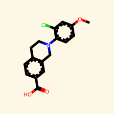 COc1ccc(N2CCc3ccc(C(=O)O)cc3C2)c(Cl)c1